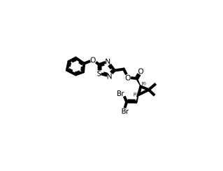 CC1(C)[C@H](C(=O)OCc2nsc(Oc3ccccc3)n2)[C@@H]1C=C(Br)Br